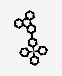 c1ccc([Si](c2ccccc2)(c2ccccc2)c2ccc(-c3ccc4c5ccccc5c5ccccc5c4c3)cc2)cc1